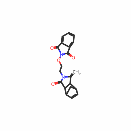 C=C1C2C3C=CC(C3)C2C(=O)N1CCON1C(=O)c2ccccc2C1=O